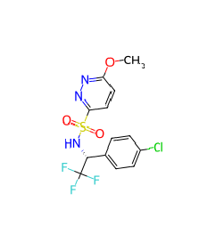 COc1ccc(S(=O)(=O)N[C@H](c2ccc(Cl)cc2)C(F)(F)F)nn1